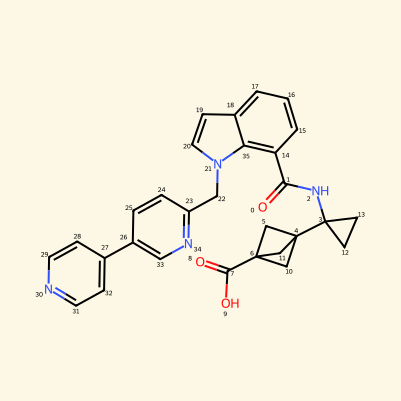 O=C(NC1(C23CC(C(=O)O)(C2)C3)CC1)c1cccc2ccn(Cc3ccc(-c4ccncc4)cn3)c12